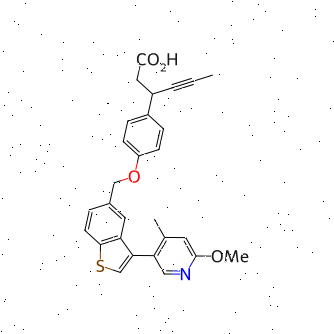 CC#CC(CC(=O)O)c1ccc(OCc2ccc3scc(-c4cnc(OC)cc4C)c3c2)cc1